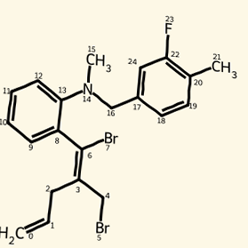 C=CC/C(CBr)=C(/Br)c1ccccc1N(C)Cc1ccc(C)c(F)c1